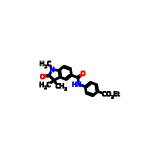 CCOC(=O)c1ccc(NC(=O)c2ccc3c(c2)C(C)(C)C(=O)N3C)cc1